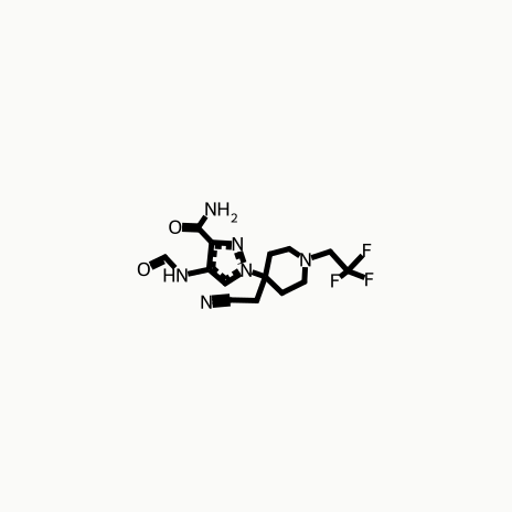 N#CCC1(n2cc(NC=O)c(C(N)=O)n2)CCN(CC(F)(F)F)CC1